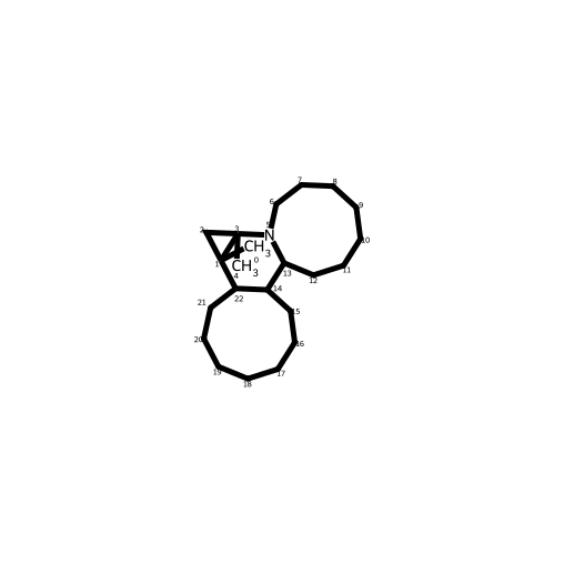 CC12CC1(C)N1CCCCCCCC1C1CCCCCCCC12